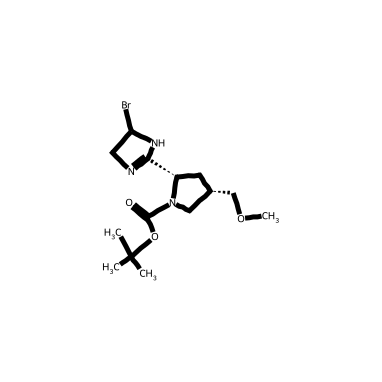 COC[C@H]1C[C@@H](C2=NCC(Br)N2)N(C(=O)OC(C)(C)C)C1